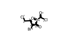 O=C(Cl)n1oc(CCl)c(Br)c1=O